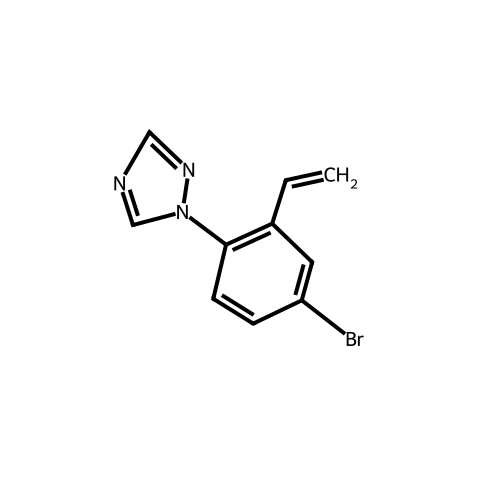 C=Cc1cc(Br)ccc1-n1cncn1